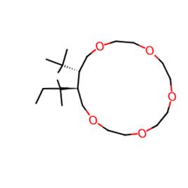 CCC(C)(C)[C@@H]1COCCOCCOCCOCCOC[C@H]1C(C)(C)C